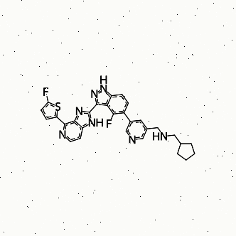 Fc1ccc(-c2nccc3[nH]c(-c4n[nH]c5ccc(-c6cncc(CNCC7CCCC7)c6)c(F)c45)nc23)s1